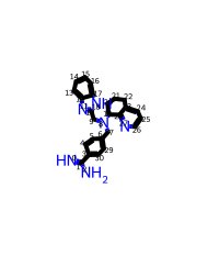 N=C(N)c1ccc(CN(Cc2nc3ccccc3[nH]2)C2CCCc3cccnc32)cc1